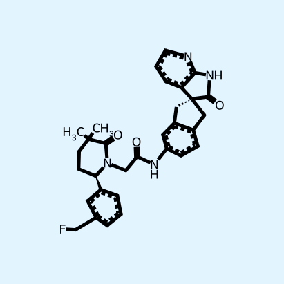 CC1(C)CC[C@H](c2cccc(CF)c2)N(CC(=O)Nc2ccc3c(c2)C[C@@]2(C3)C(=O)Nc3ncccc32)C1=O